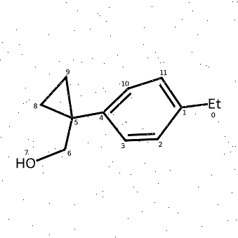 CCc1ccc(C2(CO)CC2)cc1